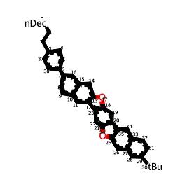 CCCCCCCCCCCCc1ccc(-c2ccc3cc4c(cc3c2)oc2cc3c(cc24)oc2cc4cc(C(C)(C)C)ccc4cc23)cc1